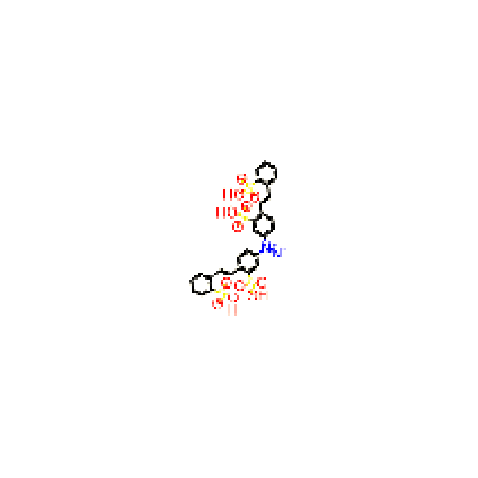 [N-]=[N+](c1ccc(C=Cc2ccccc2S(=O)(=O)O)c(S(=O)(=O)O)c1)c1ccc(C=Cc2ccccc2S(=O)(=O)O)c(S(=O)(=O)O)c1